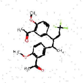 COc1ccc(C(C)C(CC(F)(F)F)c2ccc(OC)c(C(C)=O)c2)cc1C(C)=O